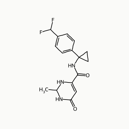 CC1NC(=O)C=C(C(=O)NC2(c3ccc(C(F)F)cc3)CC2)N1